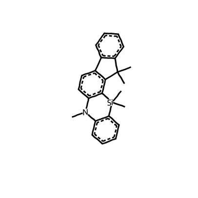 CN1c2ccccc2[Si](C)(C)c2c1ccc1c2C(C)(C)c2ccccc2-1